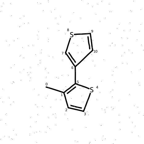 Cc1ccsc1-c1[c]scc1